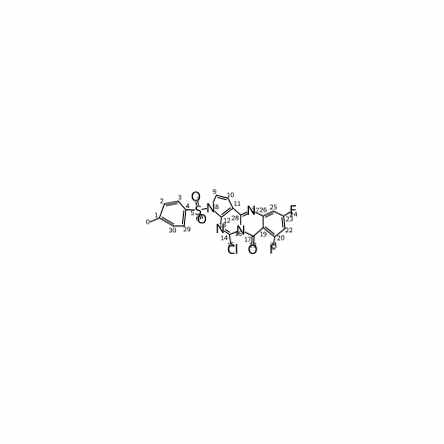 Cc1ccc(S(=O)(=O)n2ccc3c2nc(Cl)n2c(=O)c4c(F)cc(F)cc4nc32)cc1